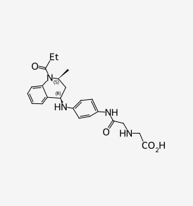 CCC(=O)N1c2ccccc2[C@H](Nc2ccc(NC(=O)CNCC(=O)O)cc2)C[C@@H]1C